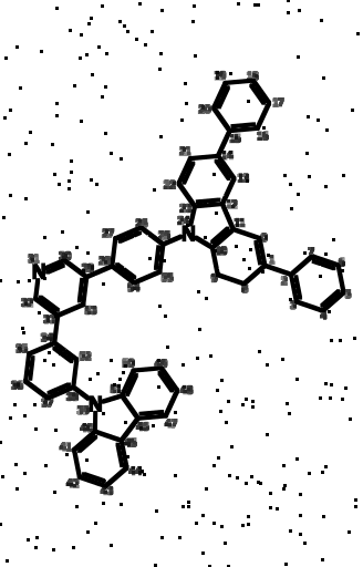 C1=C(c2ccccc2)CCc2c1c1cc(-c3ccccc3)ccc1n2-c1ccc(-c2cncc(-c3cccc(-n4c5ccccc5c5ccccc54)c3)c2)cc1